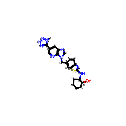 Cn1nnnc1-c1cnc2c(c1)ncn2Cc1ccc2nc(NC3CCCCC3O)sc2c1